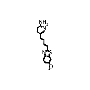 COc1ccc2nc(/C=C/C=C/C3=CN=C(N)CC3)sc2c1